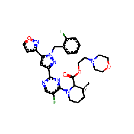 C[C@H]1CCCN(c2nc(-c3cc(-c4ccon4)n(Cc4ccccc4F)n3)ncc2F)C1C(=O)OCCN1CCOCC1